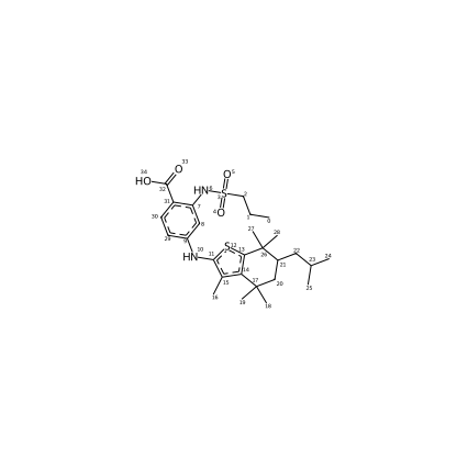 CCCS(=O)(=O)Nc1cc(Nc2sc3c(c2C)C(C)(C)CC(CC(C)C)C3(C)C)ccc1C(=O)O